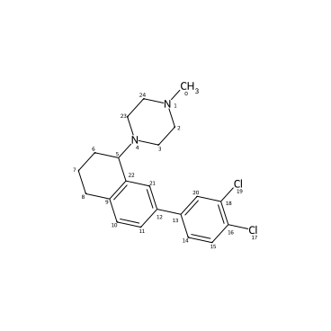 CN1CCN(C2CCCc3ccc(-c4ccc(Cl)c(Cl)c4)cc32)CC1